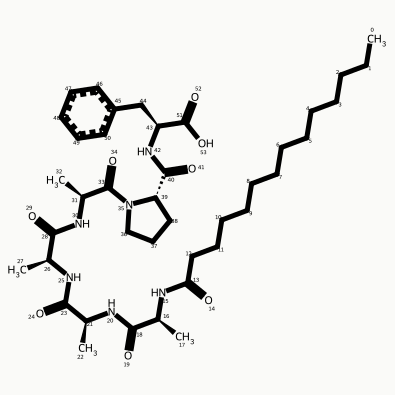 CCCCCCCCCCCCCC(=O)N[C@@H](C)C(=O)N[C@@H](C)C(=O)N[C@@H](C)C(=O)N[C@@H](C)C(=O)N1CCC[C@H]1C(=O)N[C@@H](Cc1ccccc1)C(=O)O